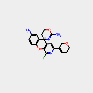 NC1=N[C@@]2(CCO1)c1cc(N)ccc1Oc1c2cc(C2=CCCOC2)nc1F